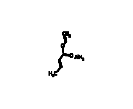 C=COC(=O)C=CC.[AlH3]